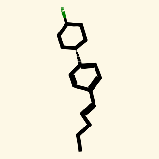 CCCC=Cc1ccc([C@H]2CC[C@H](F)CC2)cc1